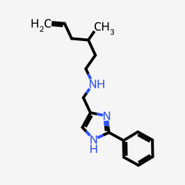 C=CCC(C)CCNCc1c[nH]c(-c2ccccc2)n1